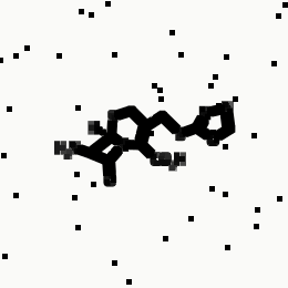 NC1C(=O)N2C(C(=O)O)=C(CSc3nnco3)CS[C@H]12